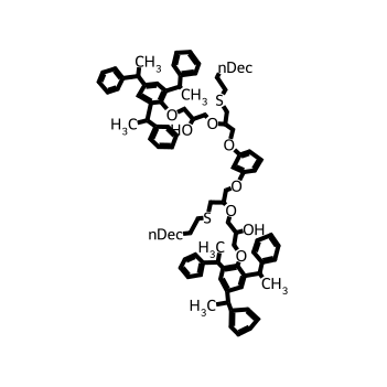 CCCCCCCCCCCCSCC(COc1cccc(OCC(CSCCCCCCCCCCCC)OCC(O)COc2c(C(C)c3ccccc3)cc(C(C)c3ccccc3)cc2C(C)c2ccccc2)c1)OCC(O)COc1c(C(C)c2ccccc2)cc(C(C)c2ccccc2)cc1C(C)c1ccccc1